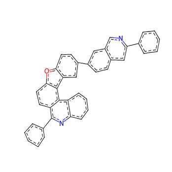 c1ccc(-c2cc3ccc(-c4ccc5oc6ccc7c(-c8ccccc8)nc8ccccc8c7c6c5c4)cc3cn2)cc1